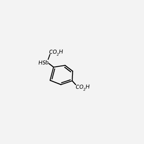 O=[C](O)[SbH][c]1ccc(C(=O)O)cc1